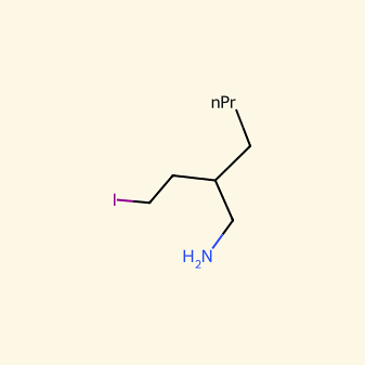 CCCCC(CN)CCI